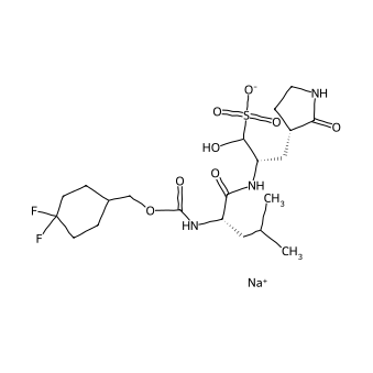 CC(C)C[C@H](NC(=O)OCC1CCC(F)(F)CC1)C(=O)N[C@@H](C[C@@H]1CCNC1=O)C(O)S(=O)(=O)[O-].[Na+]